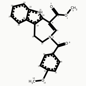 COC(=O)C1=CN(C(=O)c2ccc(OC)cc2)CCc2c1[nH]c1ccccc21